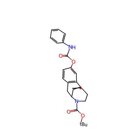 CC(C)(C)OC(=O)N1CCC23CCCCC2C1Cc1ccc(OC(=O)Nc2ccccc2)cc13